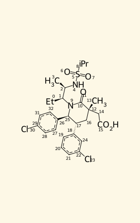 CC[C@@H]([C@@H](C)NS(=O)(=O)C(C)C)N1C(=O)[C@](C)(CC(=O)O)C[C@H](c2cccc(Cl)c2)[C@H]1c1ccc(Cl)cc1